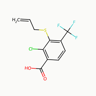 C=CCSc1c(C(F)(F)F)ccc(C(=O)O)c1Cl